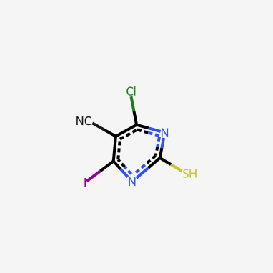 N#Cc1c(Cl)nc(S)nc1I